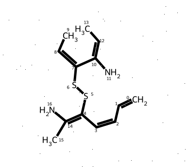 C=C/C=C\C(SSC(=C/C)/C(N)=C\C)=C(/C)N